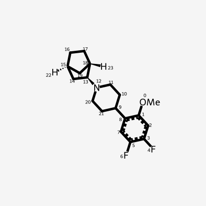 COc1cc(F)c(F)cc1C1CCN([C@H]2C[C@H]3CC[C@H]2C3)CC1